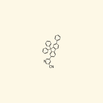 N#Cc1cncc(-c2ccc3c(c2)C(c2ccccc2)(c2ccccc2)c2cc(-c4ccccc4)ccc2-3)c1